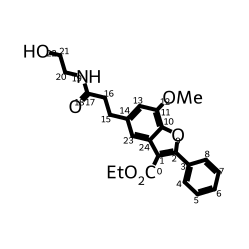 CCOC(=O)c1c(-c2ccccc2)oc2c(OC)cc(CCC(=O)NCCO)cc12